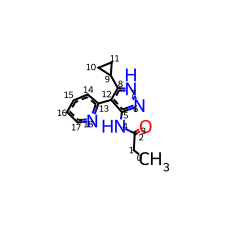 CCC(=O)Nc1n[nH]c(C2CC2)c1-c1ccccn1